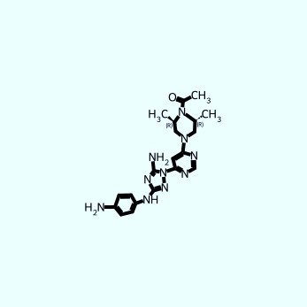 CC(=O)N1[C@H](C)CN(c2cc(-n3nc(Nc4ccc(N)cc4)nc3N)ncn2)C[C@H]1C